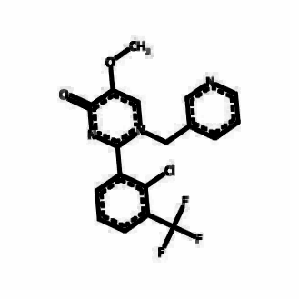 COc1cn(Cc2cccnc2)c(-c2cccc(C(F)(F)F)c2Cl)nc1=O